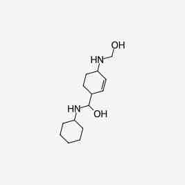 OCNC1C=CC(C(O)NC2CCCCC2)CC1